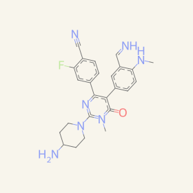 CNc1ccc(-c2c(-c3ccc(C#N)c(F)c3)nc(N3CCC(N)CC3)n(C)c2=O)cc1C=N